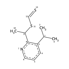 CC(C)c1cccnc1C(C)SC=S